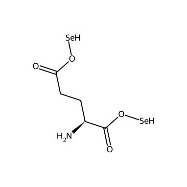 N[C@@H](CCC(=O)O[SeH])C(=O)O[SeH]